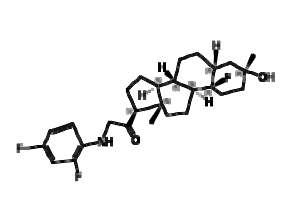 C[C@@]1(O)CC[C@@]2(F)[C@H](CC[C@H]3[C@@H]4CC[C@H](C(=O)CNc5ccc(F)cc5F)[C@@]4(C)CC[C@@H]32)C1